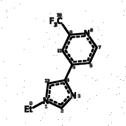 CCn1cnc(-c2ccnc(C(F)(F)F)c2)c1